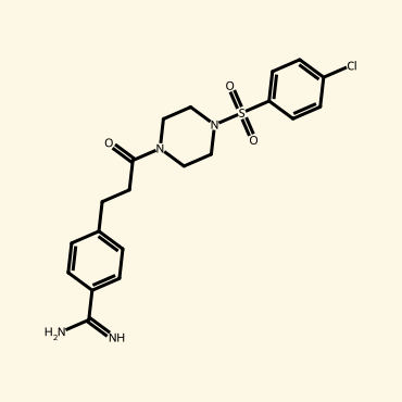 N=C(N)c1ccc(CCC(=O)N2CCN(S(=O)(=O)c3ccc(Cl)cc3)CC2)cc1